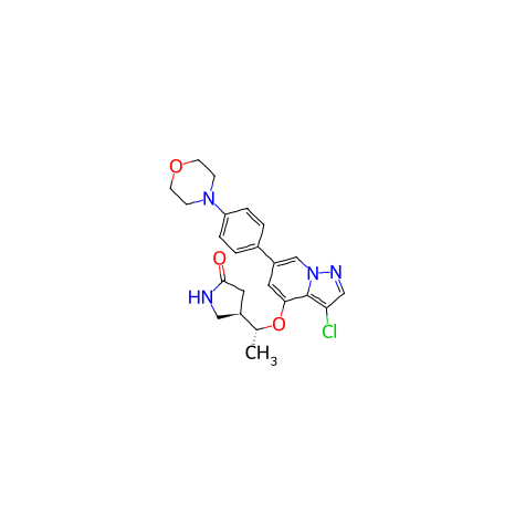 C[C@@H](Oc1cc(-c2ccc(N3CCOCC3)cc2)cn2ncc(Cl)c12)[C@H]1CNC(=O)C1